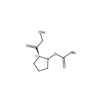 CC(=O)OCC(=O)[C@@H]1CCCN1OC(=O)C(C)(C)C